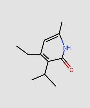 CCc1cc(C)[nH]c(=O)c1C(C)C